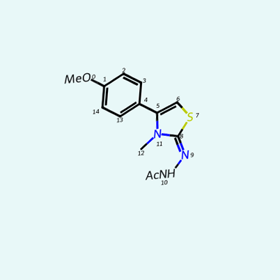 COc1ccc(-c2csc(=NNC(C)=O)n2C)cc1